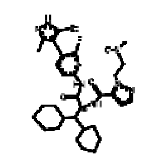 CCc1[nH]nc(C)c1-c1ccc(NC(=O)[C@@H](NC(=O)c2ccnn2CC[S+](C)[O-])C(C2CCCCC2)C2CCCCC2)nc1F